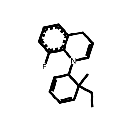 CCC1(C)C=CC=CC1N1C=CCc2cccc(F)c21